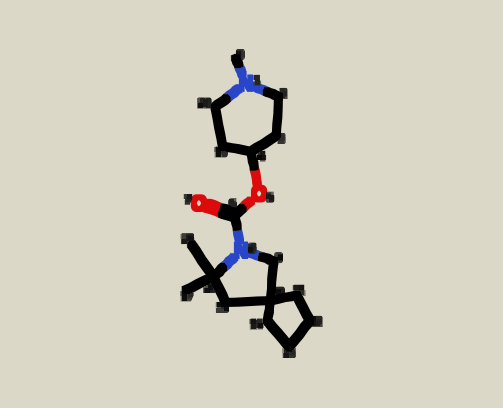 CN1CCC(OC(=O)N2CC3(CCCC3)CC2(C)C)CC1